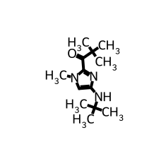 Cn1cc(NC(C)(C)C)nc1C(=O)C(C)(C)C